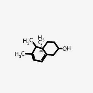 CC1=CC=C2CC(O)CC[C@]2(C)C1C